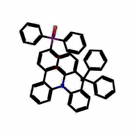 O=P(c1ccccc1)(c1ccccc1)c1ccc(-c2ccccc2N2c3ccccc3[Si](c3ccccc3)(c3ccccc3)c3ccccc32)cc1